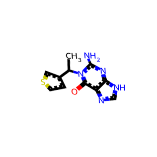 CC(c1ccsc1)n1c(N)nc2[nH]cnc2c1=O